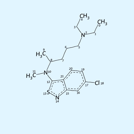 CCN(CC)CCCC(C)N(C)c1snc2cc(Cl)ccc12